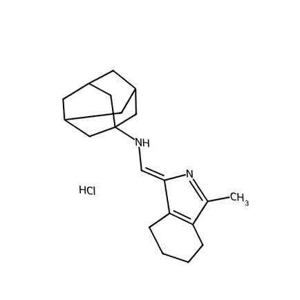 CC1=NC(=CNC23CC4CC(CC(C4)C2)C3)C2=C1CCCC2.Cl